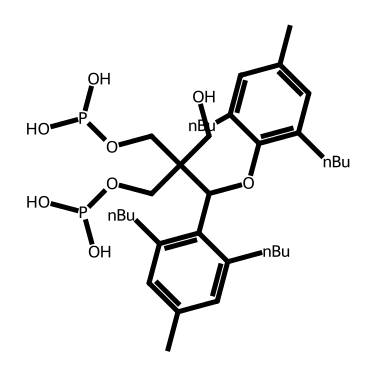 CCCCc1cc(C)cc(CCCC)c1OC(c1c(CCCC)cc(C)cc1CCCC)C(CO)(COP(O)O)COP(O)O